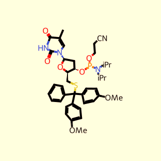 COc1ccc(C(SC[C@H]2O[C@@H](n3cc(C)c(=O)[nH]c3=O)C[C@@H]2OP(OCCC#N)N(C(C)C)C(C)C)(c2ccccc2)c2ccc(OC)cc2)cc1